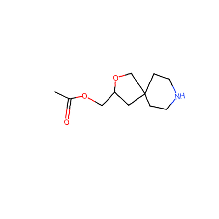 CC(=O)OCC1CC2(CCNCC2)CO1